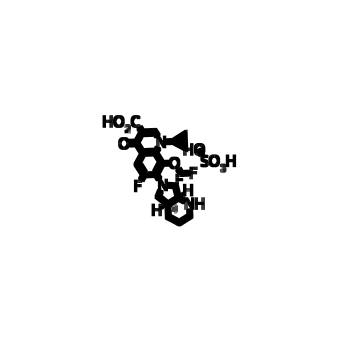 O=C(O)c1cn(C2CC2)c2c(OC(F)F)c(N3C[C@@H]4CCCN[C@@H]4C3)c(F)cc2c1=O.O=S(=O)(O)O